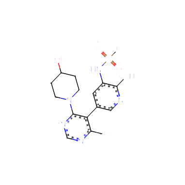 CCc1ncnc(N2CCC(O)CC2)c1-c1cnc(C)c(NS(C)(=O)=O)c1